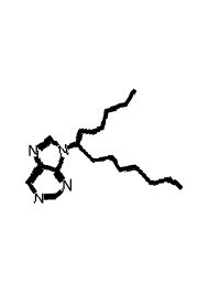 CCCCCCCC(CCCCC)n1cnc2cncnc21